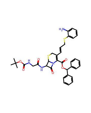 CC(C)(C)OC(=O)NCC(=O)NC1C(=O)N2C(C(=O)OC(c3ccccc3)c3ccccc3)=C(/C=C/CSc3ccccc3N)CSC12